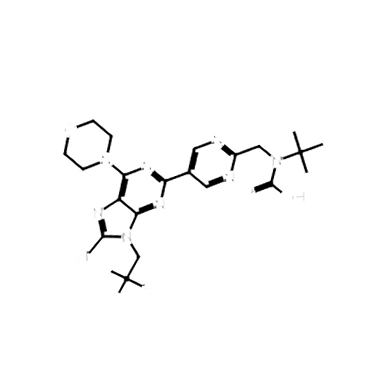 CC(C)(C)N(Cc1ncc(-c2nc(N3CCOCC3)c3nc(Cl)n(CC(F)(F)F)c3n2)cn1)C(=O)O